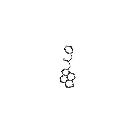 S=C(Cc1ccc2ccc3cccc4ccc1c2c34)Oc1ccccc1